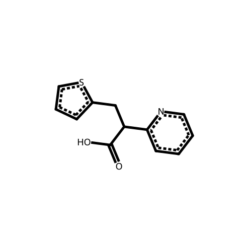 O=C(O)C(Cc1cccs1)c1ccccn1